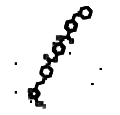 Cc1cc(CCN2CCN(C(=O)Oc3ccc(NC(=O)c4ccc(CN5CCCCC5)cc4)nc3)CC2)on1